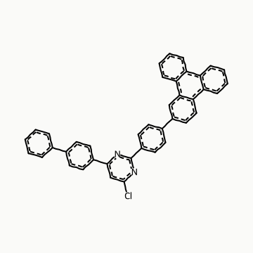 Clc1cc(-c2ccc(-c3ccccc3)cc2)nc(-c2ccc(-c3ccc4c5ccccc5c5ccccc5c4c3)cc2)n1